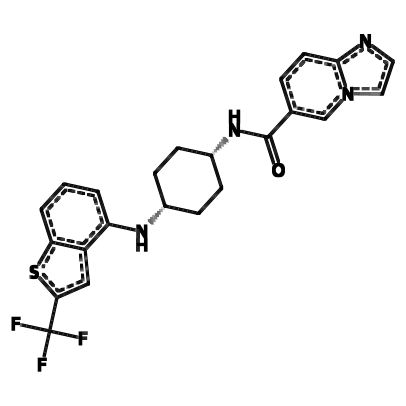 O=C(N[C@H]1CC[C@@H](Nc2cccc3sc(C(F)(F)F)cc23)CC1)c1ccc2nccn2c1